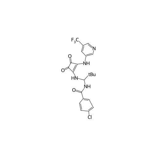 CC(C)(C)C(NC(=O)c1ccc(Cl)cc1)Nc1c(Nc2cncc(C(F)(F)F)c2)c(=O)c1=O